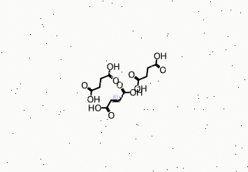 O=C(O)/C=C/C(=O)O.O=C(O)CCC(=O)O.O=C(O)CCC(=O)O